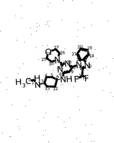 CCN[C@H]1CC[C@H](Nc2cc(-n3c(C(F)F)nc4ccccc43)nc(N3CCOCC3)n2)CC1